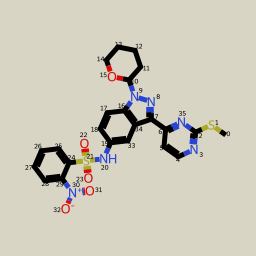 CSc1nccc(-c2nn(C3CCCCO3)c3ccc(NS(=O)(=O)c4ccccc4[N+](=O)[O-])cc23)n1